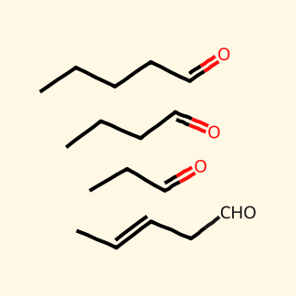 CC=CCC=O.CCC=O.CCCC=O.CCCCC=O